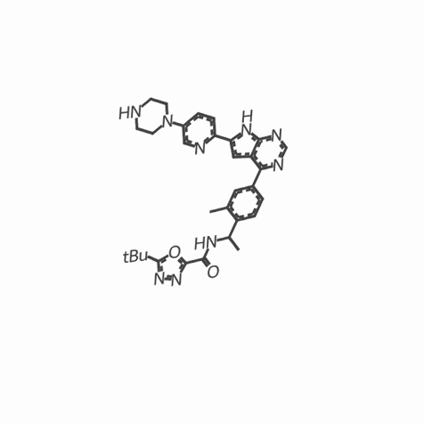 Cc1cc(-c2ncnc3[nH]c(-c4ccc(N5CCNCC5)cn4)cc23)ccc1C(C)NC(=O)c1nnc(C(C)(C)C)o1